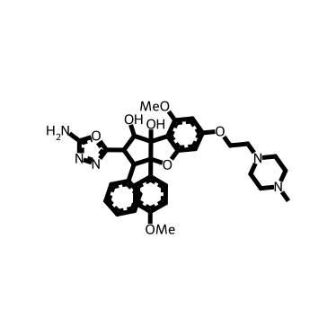 COc1ccc(C23Oc4cc(OCCN5CCN(C)CC5)cc(OC)c4C2(O)C(O)C(c2nnc(N)o2)C3c2ccccc2)cc1